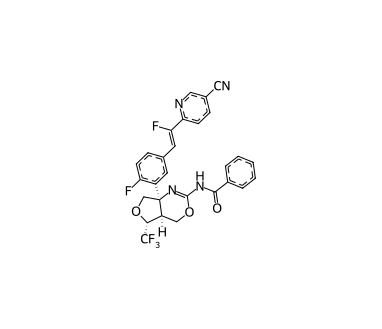 N#Cc1ccc(/C(F)=C/c2ccc(F)c([C@@]34CO[C@@H](C(F)(F)F)[C@@H]3COC(NC(=O)c3ccccc3)=N4)c2)nc1